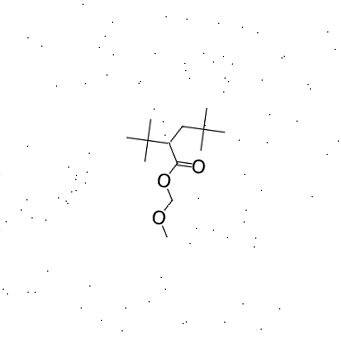 COCOC(=O)C(CC(C)(C)C)C(C)(C)C